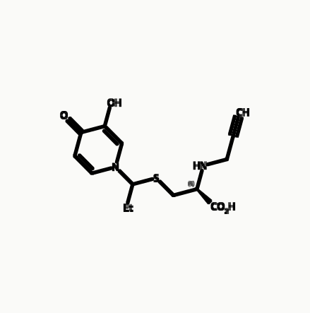 C#CCN[C@H](CSC(CC)n1ccc(=O)c(O)c1)C(=O)O